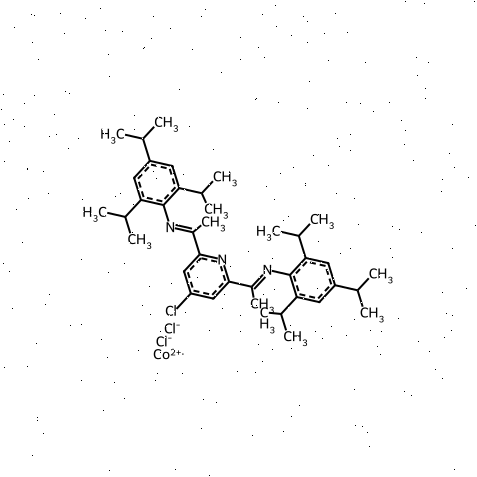 CC(=Nc1c(C(C)C)cc(C(C)C)cc1C(C)C)c1cc(Cl)cc(C(C)=Nc2c(C(C)C)cc(C(C)C)cc2C(C)C)n1.[Cl-].[Cl-].[Co+2]